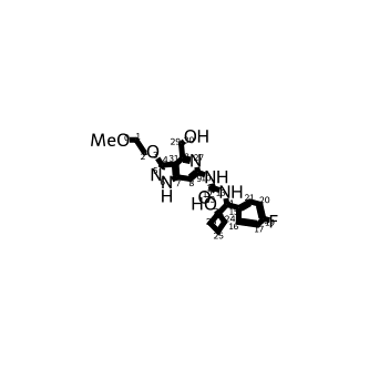 COCCOc1n[nH]c2cc(NC(=O)NC(c3ccc(F)cc3)C3(O)CCC3)nc(CO)c12